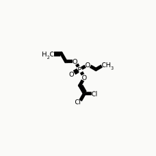 C=CCOP(=O)(OC=C(Cl)Cl)OCC